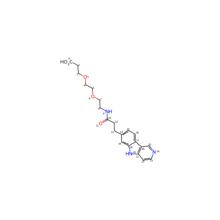 O=C(O)CCOCCOCCNC(=O)CCc1ccc2c(c1)[nH]c1ccncc12